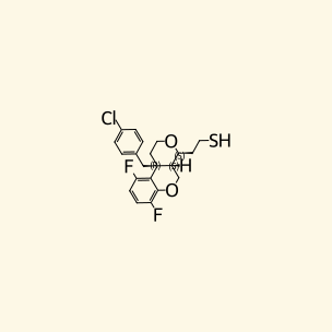 Fc1ccc(F)c2c1OC[C@H]1[C@H](CCS)OCC[C@@]21Cc1ccc(Cl)cc1